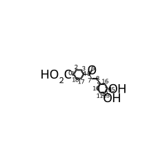 O=C(O)c1ccc(C(=O)C=Cc2ccc(O)c(O)c2)cc1